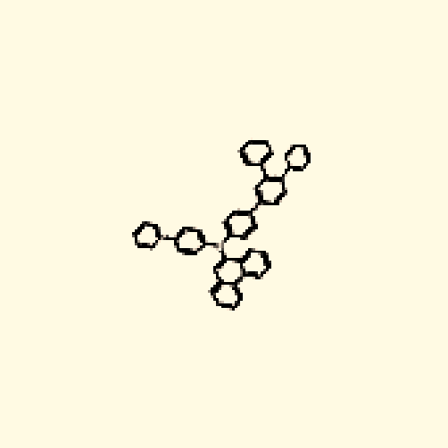 c1ccc(-c2ccc(N(c3ccc(-c4ccc(-c5ccccc5)c(-c5ccccc5)c4)cc3)c3cc4ccccc4c4ccccc34)cc2)cc1